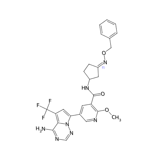 COc1ncc(-c2cc(C(F)(F)F)c3c(N)ncnn23)cc1C(=O)NC1CC/C(=N\OCc2ccccc2)C1